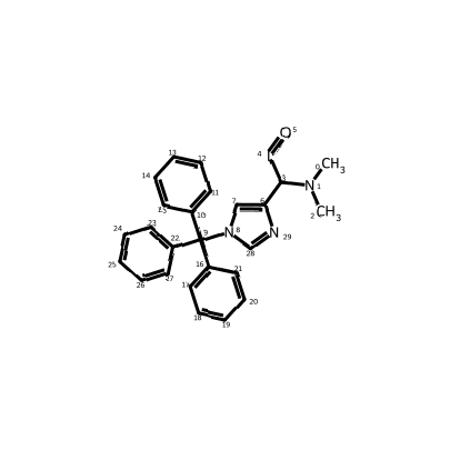 CN(C)C(I=O)c1cn(C(c2ccccc2)(c2ccccc2)c2ccccc2)cn1